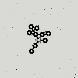 c1ccc(-c2ccc(-c3nc(-c4ccccc4)nc(-c4cc5c(cc4-c4ccc6c(c4)sc4ccccc46)C(c4ccccc4)(c4ccccc4)c4ccccc4-5)n3)cc2)cc1